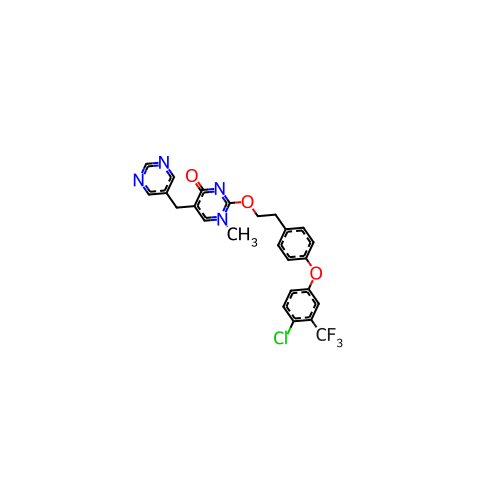 Cn1cc(Cc2cncnc2)c(=O)nc1OCCc1ccc(Oc2ccc(Cl)c(C(F)(F)F)c2)cc1